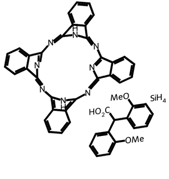 COc1ccccc1C(C(=O)O)c1ccccc1OC.[SiH4].c1ccc2c(c1)-c1nc-2nc2[nH]c(nc3nc(nc4[nH]c(n1)c1ccccc41)-c1ccccc1-3)c1ccccc21